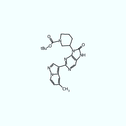 Cc1ccn2ncc(-c3ncc4[nH]c(=O)n(C5CCCN(C(=O)OC(C)(C)C)C5)c4n3)c2c1